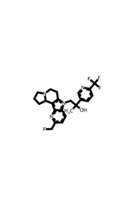 CC(O)(Cn1c2c(c3nc(CF)ccc31)C1CCCN1CC2)c1ccc(C(F)(F)F)nc1